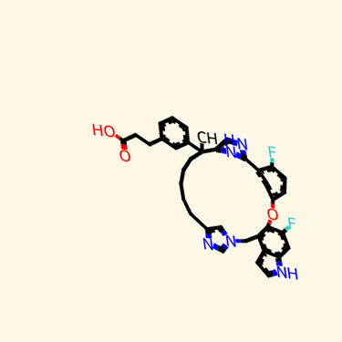 CC1(c2cccc(CCC(=O)O)c2)CCCCCc2cn(cn2)Cc2c(c(F)cc3[nH]ccc23)Oc2ccc(F)c(c2)-c2ncc1[nH]2